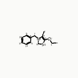 CCOC1=C(C)N(Cc2ccccc2)CS1